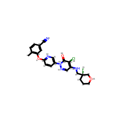 Cc1ccc(C#N)cc1Oc1ccc(-n2ncc(NC[C@@]3(F)CCCOC3)c(Cl)c2=O)cn1